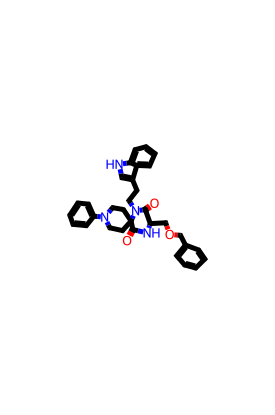 O=C1C(COCc2ccccc2)NC(=O)C2(CCN(c3ccccc3)CC2)N1CCc1c[nH]c2ccccc12